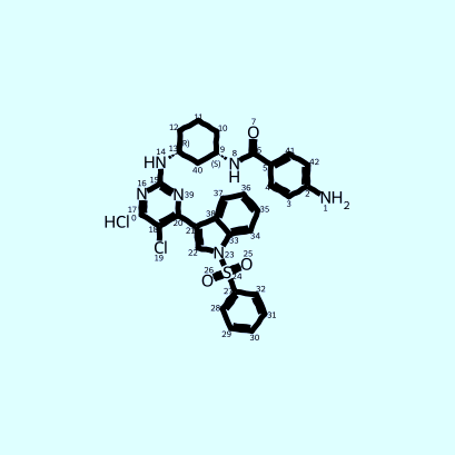 Cl.Nc1ccc(C(=O)N[C@H]2CCC[C@@H](Nc3ncc(Cl)c(-c4cn(S(=O)(=O)c5ccccc5)c5ccccc45)n3)C2)cc1